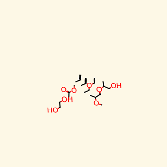 C=CC.C=CC.CCOCC.COC(C)=O.COC(C)COC(C)CO.OCCO